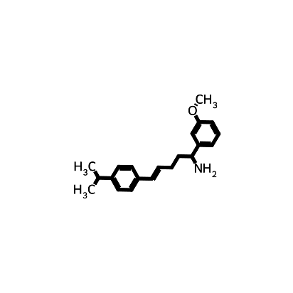 COc1cccc(C(N)CCC=Cc2ccc(C(C)C)cc2)c1